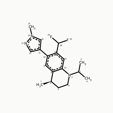 CC(C)N1CC[C@@H](C)c2cc(-c3cnn(C)c3)c(C(F)F)cc21